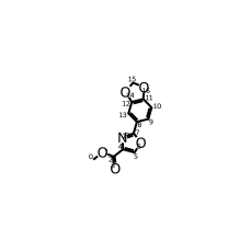 COC(=O)c1coc(-c2ccc3c(c2)OCO3)n1